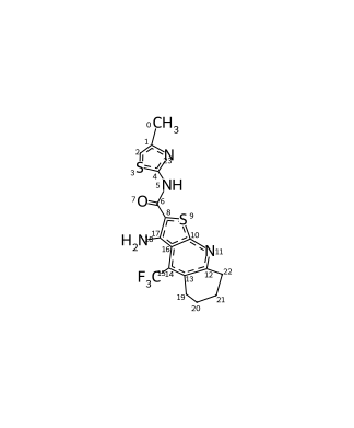 Cc1csc(NC(=O)c2sc3nc4c(c(C(F)(F)F)c3c2N)CCCC4)n1